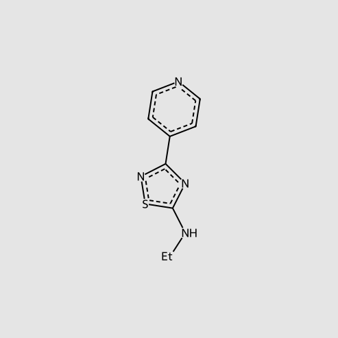 CCNc1nc(-c2ccncc2)ns1